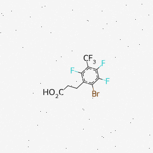 O=C(O)CCc1c(F)c(C(F)(F)F)c(F)c(F)c1Br